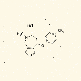 CN1CCC(Oc2ccc(C(F)(F)F)cc2)c2ccsc2C1.Cl